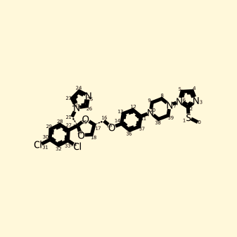 CSc1nccn1N1CCN(c2ccc(OC[C@@H]3CO[C@@](Cn4ccnc4)(c4ccc(Cl)cc4Cl)O3)cc2)CC1